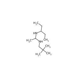 CCC(CC)N[C](C)NCC(C)(C)C